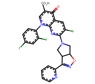 O=C(O)c1cn(-c2ccc(F)cc2F)c2nc(N3CC4ON=C(c5ccccn5)C4C3)c(F)cc2c1=O